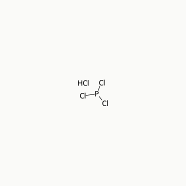 Cl.ClP(Cl)Cl